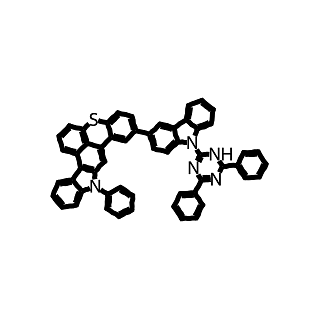 c1ccc(C2=NC(c3ccccc3)NC(n3c4ccccc4c4cc(-c5ccc6c(c5)-c5cc7c(c8cccc(c58)S6)c5ccccc5n7-c5ccccc5)ccc43)=N2)cc1